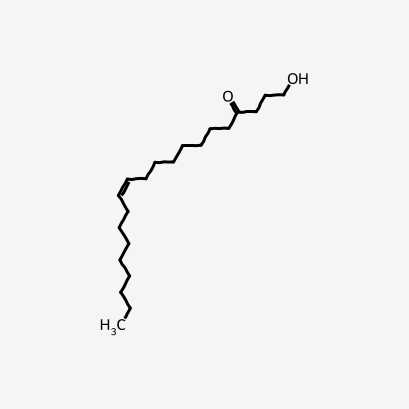 CCCCCCCC/C=C\CCCCCCCC(=O)CCCO